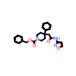 O=C(CC1(c2ccccc2)CCN(C(=O)OCc2ccccc2)CC1)Nc1ccon1